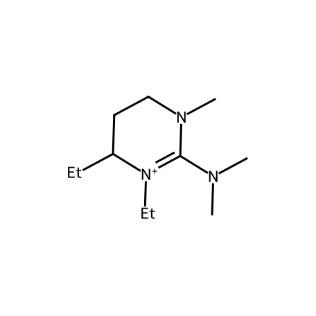 CCC1CCN(C)C(N(C)C)=[N+]1CC